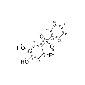 CCc1cc(O)c(O)cc1S(=O)(=O)c1ccccc1